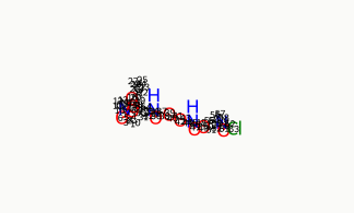 CCC(C)(C)C(=O)C(=O)N1CCCC[C@H]1C(=O)O[C@H](CCc1ccc(C)c(C)c1)c1cccc(NC(=O)CCOCCOCCNC(=O)COc2ccc3c(c2)CCCN3C(=O)CCl)c1